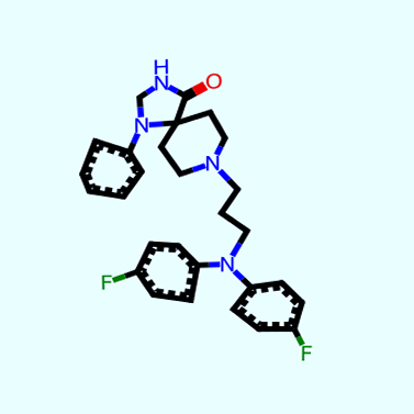 O=C1NCN(c2ccccc2)C12CCN(CCCN(c1ccc(F)cc1)c1ccc(F)cc1)CC2